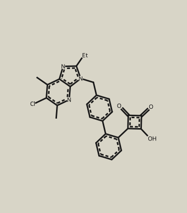 CCc1nc2c(C)c(Cl)c(C)nc2n1Cc1ccc(-c2ccccc2-c2c(O)c(=O)c2=O)cc1